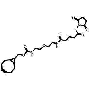 O=C(CCCC(=O)ON1C(=O)CCC1=O)NCCOCCNC(=O)OCC1C2CCC#CCCC21